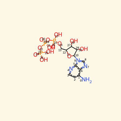 Nc1ccnc2c1ncn2C1OC(COP(=O)(O)OP(=O)(O)OP(=O)(O)O)C(O)C1O